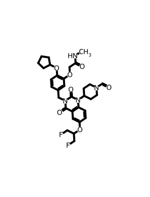 CNC(=O)COc1cc(Cn2c(=O)c3cc(OC(CF)CF)ccc3n(C3CCN(C=O)CC3)c2=O)ccc1OC1CCCC1